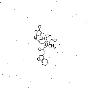 C=C1C(=O)O[C@H]2CC3=C[C@@H](C/C(C)=C/[C@@H](OC(=O)Cc4coc5ccccc45)[C@H]12)OC3=O